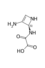 NC1=CN[C@H]1NC(=O)C(=O)O